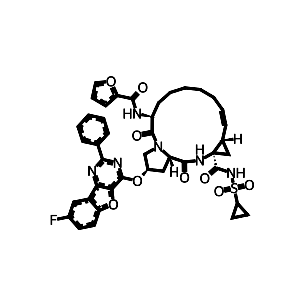 O=C(N[C@H]1CCCCC/C=C\[C@@H]2C[C@@]2(C(=O)NS(=O)(=O)C2CC2)NC(=O)[C@@H]2C[C@@H](Oc3nc(-c4ccccc4)nc4c3oc3ccc(F)cc34)CN2C1=O)c1ccco1